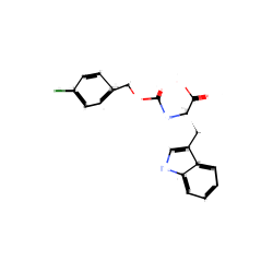 O=C(N[C@H](Cc1c[nH]c2ccccc12)C(=O)O)OCc1ccc(Cl)cc1